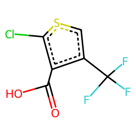 O=C(O)c1c(C(F)(F)F)csc1Cl